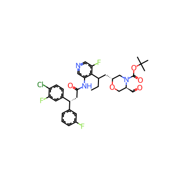 CCC(C[C@@H]1CN(C(=O)OC(C)(C)C)[C@@H](C=O)CO1)c1c(F)cncc1NC(=O)C[C@H](c1cccc(F)c1)c1ccc(Cl)c(F)c1